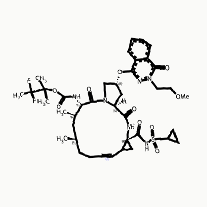 COCCn1nc(O[C@@H]2C[C@H]3C(=O)N[C@]4(C(=O)NS(=O)(=O)C5CC5)CC4/C=C\CC[C@@H](C)C[C@@H](C)[C@H](NC(=O)OC(C)(C)C(C)(F)F)C(=O)N3C2)c2ccccc2c1=O